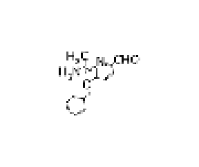 C[C@H](N)c1nc(C=O)ccc1OCc1ccccc1